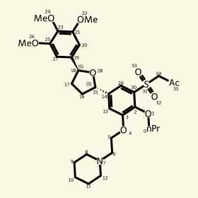 CCCOc1c(OCCN2CCCCC2)cc([C@@H]2CC[C@@H](c3cc(OC)c(OC)c(OC)c3)O2)cc1S(=O)(=O)CC(C)=O